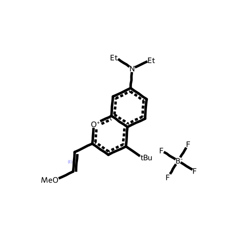 CCN(CC)c1ccc2c(C(C)(C)C)cc(/C=C/OC)[o+]c2c1.F[B-](F)(F)F